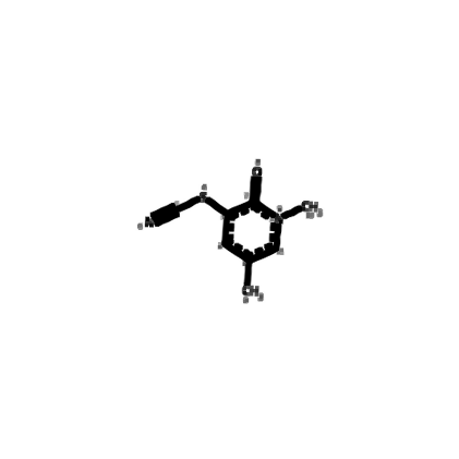 Cc1cc(SC#N)c(=O)n(C)c1